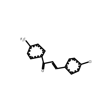 O=C(C=Cc1ccc(Cl)cc1)c1ccc(C(F)(F)F)cc1